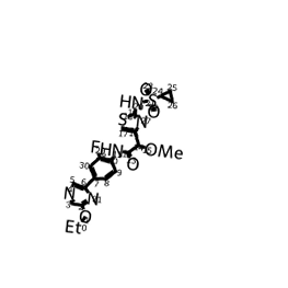 CCOc1cncc(-c2ccc(NC(=O)C(OC)c3csc(NS(=O)(=O)C4CC4)n3)c(F)c2)n1